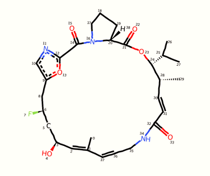 CC1=C\[C@@H](O)C[C@@H](F)Cc2cnc(o2)C(=O)N2CCC[C@@H]2C(=O)O[C@H](C(C)C)[C@H](C)/C=C/C(=O)NC\C=C\1